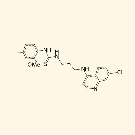 COc1cc(C)ccc1NC(=S)NCCCNc1ccnc2cc(Cl)ccc12